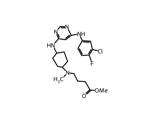 COC(=O)CCCN(C)C1CCC(Nc2cc(Nc3ccc(F)c(Cl)c3)ncn2)CC1